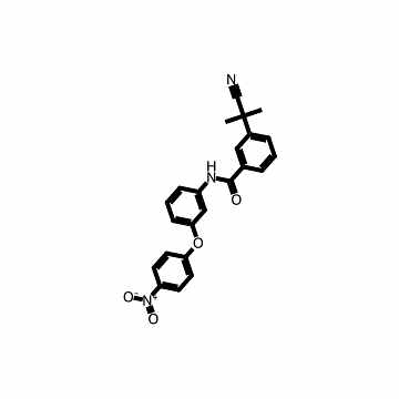 CC(C)(C#N)c1cccc(C(=O)Nc2cccc(Oc3ccc([N+](=O)[O-])cc3)c2)c1